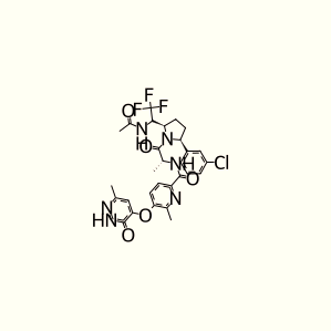 CC(=O)NC([C@H]1CC[C@@H](c2cccc(Cl)c2)N1C(=O)[C@@H](C)NC(=O)c1ccc(Oc2cc(C)n[nH]c2=O)c(C)n1)C(F)(F)F